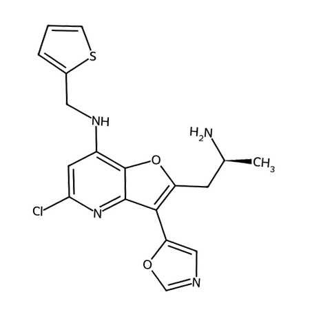 C[C@H](N)Cc1oc2c(NCc3cccs3)cc(Cl)nc2c1-c1cnco1